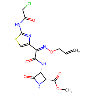 C=CCON=C(C(=O)N[C@H]1C(=O)N[C@H]1C(=O)OC)c1csc(NC(=O)CCl)n1